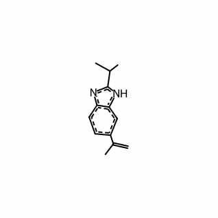 C=C(C)c1ccc2nc(C(C)C)[nH]c2c1